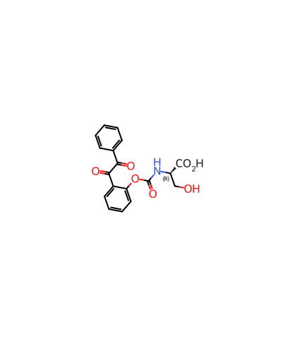 O=C(N[C@H](CO)C(=O)O)Oc1ccccc1C(=O)C(=O)c1ccccc1